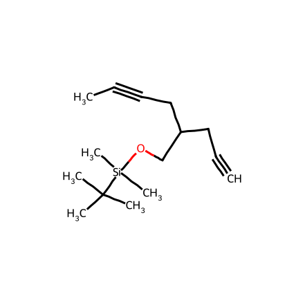 C#CCC(CC#CC)CO[Si](C)(C)C(C)(C)C